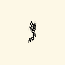 COCc1ccc(C)cc1N1C(=O)CSC1=NC(=O)Nc1ccc(-c2nnc(-c3ccc(OC(F)(F)F)cc3)o2)cc1F